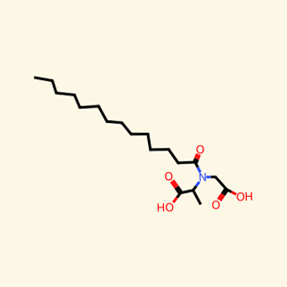 CCCCCCCCCCCCCC(=O)N(CC(=O)O)C(C)C(=O)O